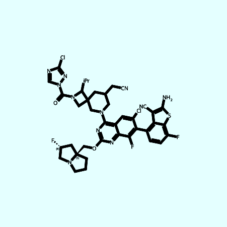 CC(C)C1N(C(=O)n2cnc(Cl)n2)CC12CC(CC#N)CN(c1nc(OC[C@@]34CCCN3C[C@H](F)C4)nc3c(F)c(-c4ccc(F)c5sc(N)c(C#N)c45)c(Cl)cc13)C2